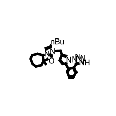 CCCCc1cn(C2CCCCCCC2(C)C)c(=O)n1Cc1ccc(-c2ccccc2-c2nnn[nH]2)nc1